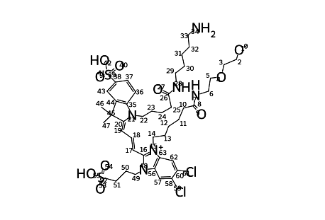 COCCOCCNC(=O)CCCCC[n+]1c(C=CC=C2N(CCCCC(=O)NCCCCCN)c3ccc(S(=O)(=O)O)cc3C2(C)C)n(CCCS(=O)(=O)O)c2cc(Cl)c(Cl)cc21